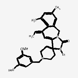 CC=C1C=C2N(Cc3cc(C)cc(C)c31)C(=O)N(CC)C21CCN(Cc2cc(OC)cc(OC)c2)CC1